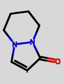 O=c1[c]cn2n1CCCC2